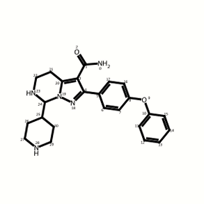 NC(=O)c1c(-c2ccc(Oc3ccccc3)cc2)nn2c1CCNC2C1CCNCC1